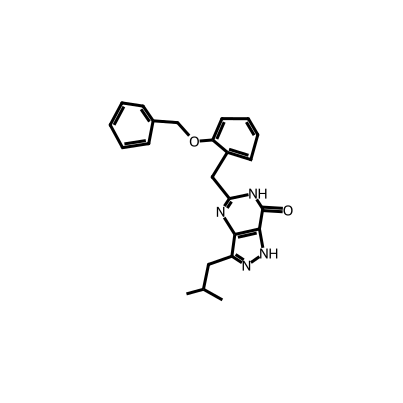 CC(C)Cc1n[nH]c2c(=O)[nH]c(Cc3ccccc3OCc3ccccc3)nc12